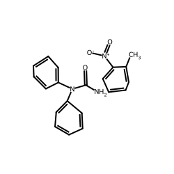 Cc1ccccc1[N+](=O)[O-].NC(=O)N(c1ccccc1)c1ccccc1